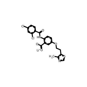 Cc1ncsc1CCOc1ccc(NC(=O)c2ccc(Cl)cc2Cl)c(C(=O)[O-])c1.[Li+]